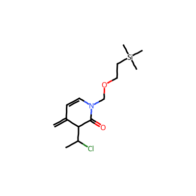 C=C1C=CN(COCC[Si](C)(C)C)C(=O)C1C(C)Cl